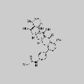 COC(=O)Nc1ccc(-c2ccc(O)c3c2C[C@H]2C[C@H]4CC(O)=C(C(N)=O)C(=O)[C@@]4(O)C(O)=C2C3=O)cc1